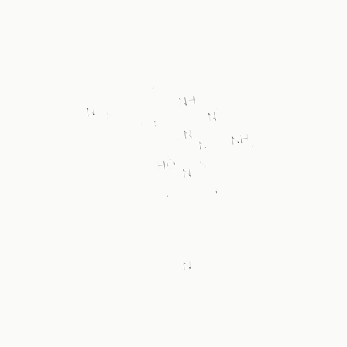 Cc1cc(Nc2nc(N)n(SN(O)c3ccc(C#N)cc3Cl)n2)ccc1C#N